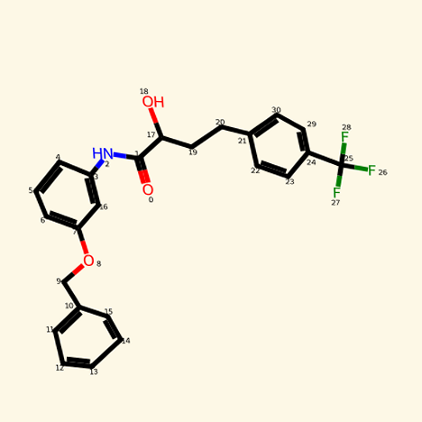 O=C(Nc1cccc(OCc2ccccc2)c1)C(O)CCc1ccc(C(F)(F)F)cc1